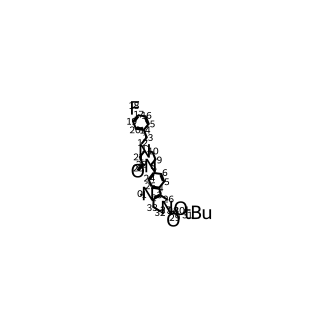 Cn1c2c(c3ccc(N4CCN(CCc5ccc(F)cc5)CC4=O)cc31)CN(C(=O)OC(C)(C)C)CC2